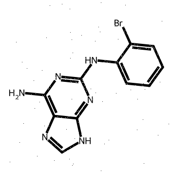 Nc1nc(Nc2ccccc2Br)nc2[nH]cnc12